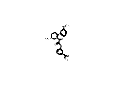 CNc1cccc([C@@H]2CC[C@@H](C)CN2C(=O)C(=O)Nc2cncc(C(N)=O)c2)c1